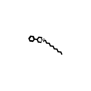 CCCCCCCCCCN1CCC(c2ccccc2)CC1